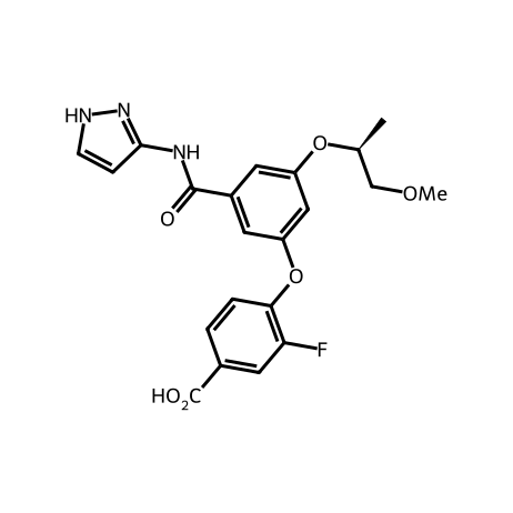 COC[C@H](C)Oc1cc(Oc2ccc(C(=O)O)cc2F)cc(C(=O)Nc2cc[nH]n2)c1